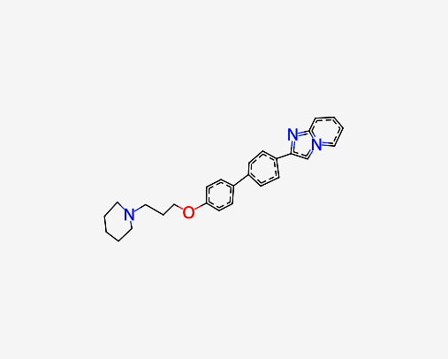 c1ccn2cc(-c3ccc(-c4ccc(OCCCN5CCCCC5)cc4)cc3)nc2c1